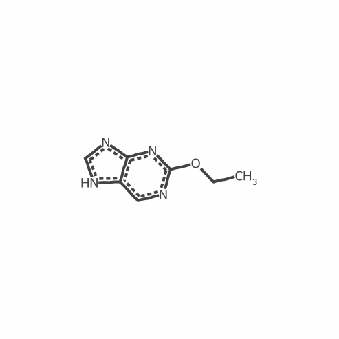 CCOc1ncc2[nH]cnc2n1